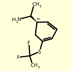 CC(N)[C@H]1C=CC=C(SC(C)(F)F)C1